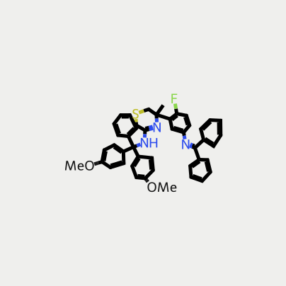 COc1ccc(C(NC2=NC(C)(c3cc(N=C(c4ccccc4)c4ccccc4)ccc3F)CSC2)(c2ccccc2)c2ccc(OC)cc2)cc1